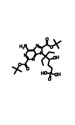 CCC(CC)([C@@H](O)CCP(=O)(O)O)n1c(C(=O)OC(C)(C)C)nc2c(N)nc(C(=O)OC(C)(C)C)nc21